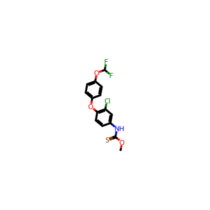 COC(=S)Nc1ccc(Oc2ccc(OC(F)F)cc2)c(Cl)c1